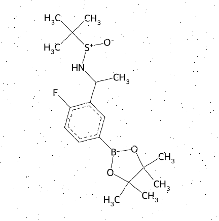 CC(N[S+]([O-])C(C)(C)C)c1cc(B2OC(C)(C)C(C)(C)O2)ccc1F